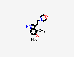 COc1ccc2[nH][c]c(CCN3CCOCC3)c2c1C